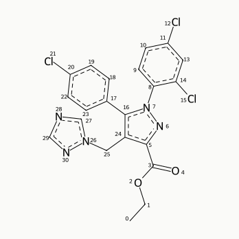 CCOC(=O)c1nn(-c2ccc(Cl)cc2Cl)c(-c2ccc(Cl)cc2)c1Cn1cncn1